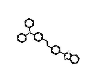 C(=C\c1ccc(N(c2ccccc2)c2ccccc2)cc1)/c1ccc(-c2nc3ccccc3s2)cc1